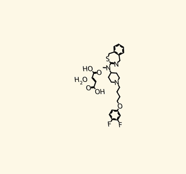 CN(C1=NCc2ccccc2CS1)C1CCN(CCCCOc2ccc(F)c(F)c2)CC1.O.O=C(O)C=CC(=O)O